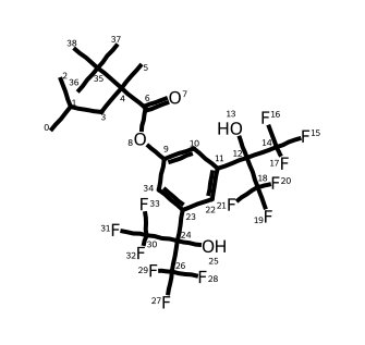 CC(C)CC(C)(C(=O)Oc1cc(C(O)(C(F)(F)F)C(F)(F)F)cc(C(O)(C(F)(F)F)C(F)(F)F)c1)C(C)(C)C